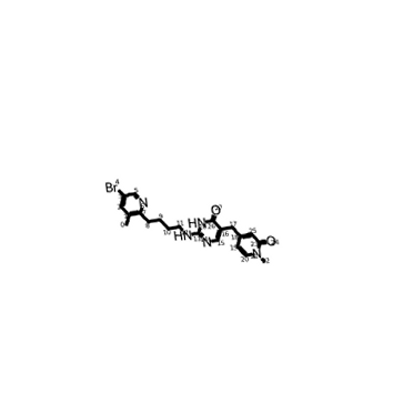 Cc1cc(Br)cnc1CCCCNc1ncc(Cc2ccn(C)c(=O)c2)c(=O)[nH]1